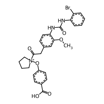 COc1cc(CC(=O)[N+]2(Oc3ccc(C(=O)O)cc3)CCCC2)ccc1NC(=O)Nc1ccccc1Br